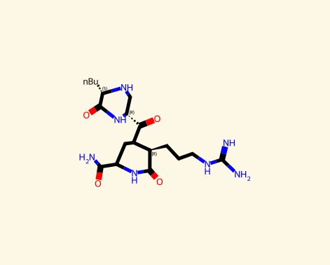 CCCC[C@@H]1NC[C@H](C(=O)C2CC(C(N)=O)NC(=O)[C@@H]2CCCNC(=N)N)NC1=O